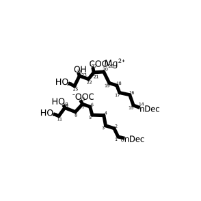 CCCCCCCCCCCCCCCCC(CC(O)CO)C(=O)[O-].CCCCCCCCCCCCCCCCC(CC(O)CO)C(=O)[O-].[Mg+2]